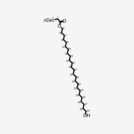 CCCCCCCCCCCC(=O)OCCCCCCCCCCCCCCCCCCCCCCCCCO